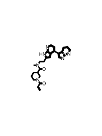 C=CC(=O)N1CCCC(C(=O)N(C)CCc2cc3c(-c4cnn5ncccc45)ccnc3[nH]2)C1